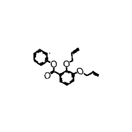 C=CCOc1cccc(C(=O)Oc2[c]cccc2)c1OCC=C